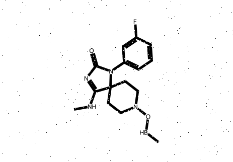 CBON1CCC2(CC1)C(NC)=NC(=O)N2c1cccc(F)c1